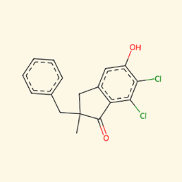 CC1(Cc2ccccc2)Cc2cc(O)c(Cl)c(Cl)c2C1=O